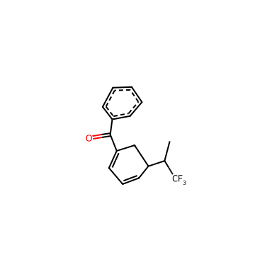 CC(C1C=CC=C(C(=O)c2ccccc2)C1)C(F)(F)F